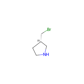 BrC[C@H]1CCNC1